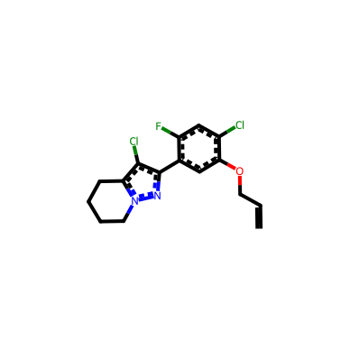 C=CCOc1cc(-c2nn3c(c2Cl)CCCC3)c(F)cc1Cl